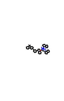 CC1(C)c2ccccc2-c2cc(-c3cccc(-c4ccc(-c5cc(-c6cccc7ccccc67)nc(-c6cccc7ccccc67)n5)c5ccccc45)c3)ccc21